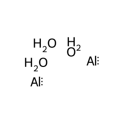 O.O.O.[Al].[Al]